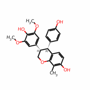 COc1cc([C@H]2COc3c(ccc(O)c3C)[C@H]2c2ccc(O)cc2)cc(OC)c1O